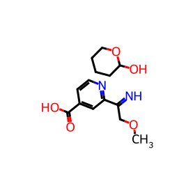 COCC(=N)c1cc(C(=O)O)ccn1.OC1CCCCO1